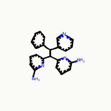 Nc1cccc(C(c2cccc(N)n2)C(c2ccccc2)c2cccnc2)n1